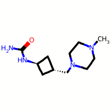 CN1CCN(C[C@H]2C[C@H](NC(N)=O)C2)CC1